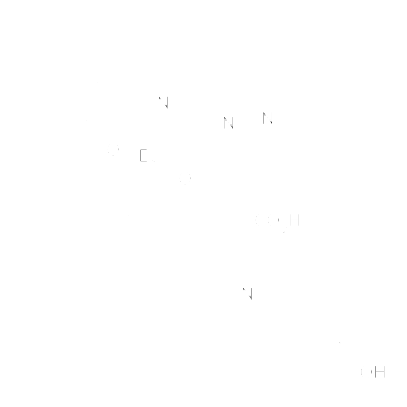 CCOc1c(C(=O)O)cnn1-c1cccc(-c2cccc(C)c2OCc2ccc3c(c2)CCN(C(C)CC(C)(C)O)C3)n1